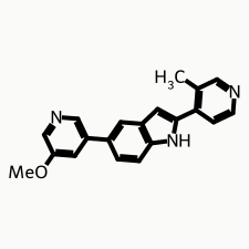 COc1cncc(-c2ccc3[nH]c(-c4ccncc4C)cc3c2)c1